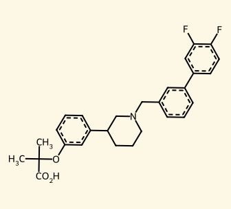 CC(C)(Oc1cccc(C2CCCN(Cc3cccc(-c4ccc(F)c(F)c4)c3)C2)c1)C(=O)O